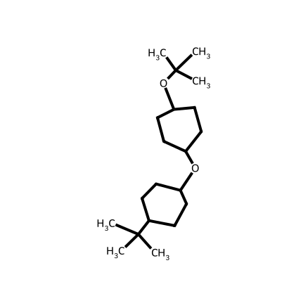 CC(C)(C)OC1CCC(OC2CCC(C(C)(C)C)CC2)CC1